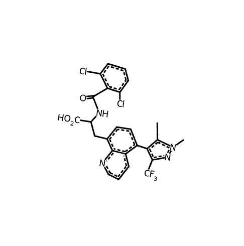 Cc1c(-c2ccc(CC(NC(=O)c3c(Cl)cccc3Cl)C(=O)O)c3ncccc23)c(C(F)(F)F)nn1C